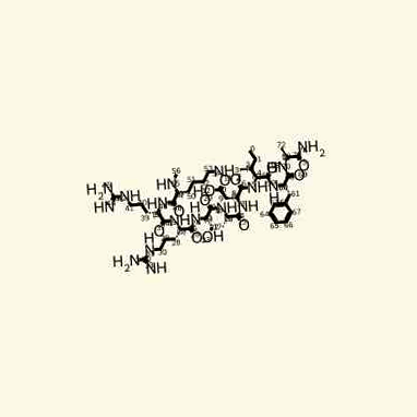 CC[C@H](C)[C@H](NC(=O)[C@H](CC(=O)O)NC(=O)[C@H](C)NC(=O)[C@H](CO)NC(=O)[C@H](CCCNC(=N)N)NC(=O)[C@H](CCCNC(=N)N)NC(=O)[C@H](CCCCN)NC)C(=O)N[C@@H](Cc1ccccc1)C(=O)N[C@@H](C)C(N)=O